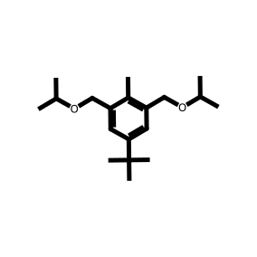 Cc1c(COC(C)C)cc(C(C)(C)C)cc1COC(C)C